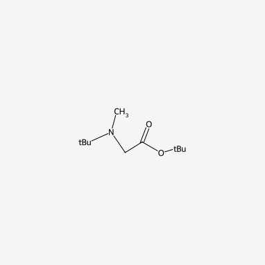 CN(CC(=O)OC(C)(C)C)C(C)(C)C